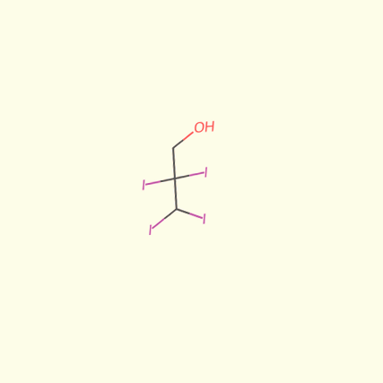 OCC(I)(I)C(I)I